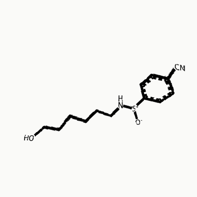 N#Cc1ccc([S+]([O-])NCCCCCCO)cc1